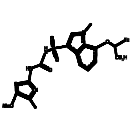 CCC(Oc1cccc2c(S(=O)(=O)NC(=O)Nc3nc(C)c(OC)s3)cn(C)c12)C(=O)O